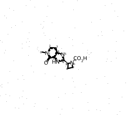 Cn1ccc2nc([C@@H]3CCN3C(=O)O)[nH]c2c1=O